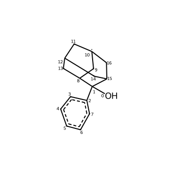 OC1(c2ccccc2)C2C[C]3CC(C2)CC1C3